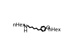 [CH2]CCCCCNCCCCCCc1ccc(OCCCCCC)cc1